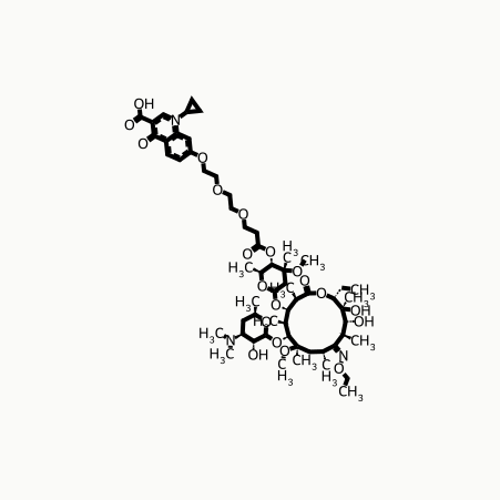 CCO/N=C1\[C@H](C)C[C@@](C)(OC)[C@H](OC2O[C@H](C)C[C@H](N(C)C)[C@H]2O)[C@@H](C)[C@H](OC2C[C@@](C)(OC)[C@@H](OC(=O)CCOCCOCCOc3ccc4c(=O)c(C(=O)O)cn(C5CC5)c4c3)[C@H](C)O2)[C@@H](C)C(=O)O[C@H](CC)[C@@](C)(O)[C@H](O)[C@H]1C